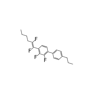 CCCCC(F)=C(F)c1ccc(-c2ccc(CCC)cc2)c(F)c1F